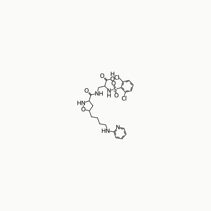 O=C(O)C(CNC(=O)C1CC(CCCCNc2ccccn2)ON1)NS(=O)(=O)c1c(Cl)cccc1Cl